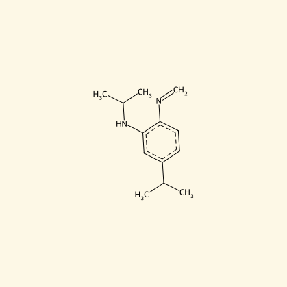 C=Nc1ccc(C(C)C)cc1NC(C)C